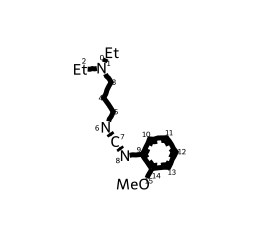 CCN(CC)CCCN=C=Nc1ccccc1OC